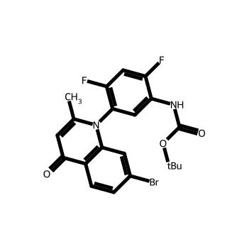 Cc1cc(=O)c2ccc(Br)cc2n1-c1cc(NC(=O)OC(C)(C)C)c(F)cc1F